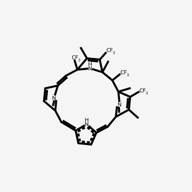 CC1=C(C(F)(F)F)C2(C)N=C1C=c1ccc([nH]1)=CC1=NC(=CC3(C(F)(F)F)NC(C)(C(C(F)(F)F)=C3C)C2C(F)(F)F)C=C1